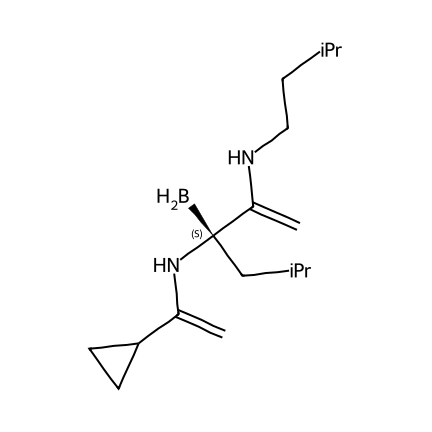 B[C@@](CC(C)C)(NC(=C)C1CC1)C(=C)NCCC(C)C